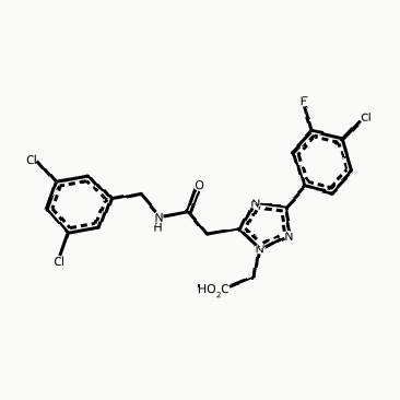 O=C(O)Cn1nc(-c2ccc(Cl)c(F)c2)nc1CC(=O)NCc1cc(Cl)cc(Cl)c1